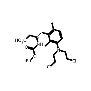 Cc1ccc(N(CCCl)CCCl)c(C)c1C[C@@H](CC(=O)O)NC(=O)OC(C)(C)C